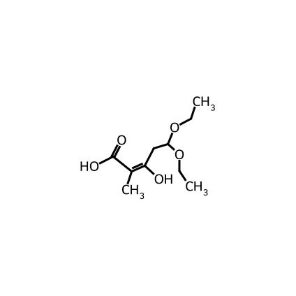 CCOC(CC(O)=C(C)C(=O)O)OCC